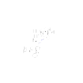 C=C1N(C)C(=O)C(/C=C/C=C(\C#N)c2cc[n+]3c(c2)C(C)(C)c2ccccc2-3)=C(O)N1C